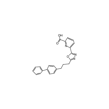 O=C(O)c1cccc(-c2nnc(CCCc3ccc(-c4ccccc4)cc3)o2)n1